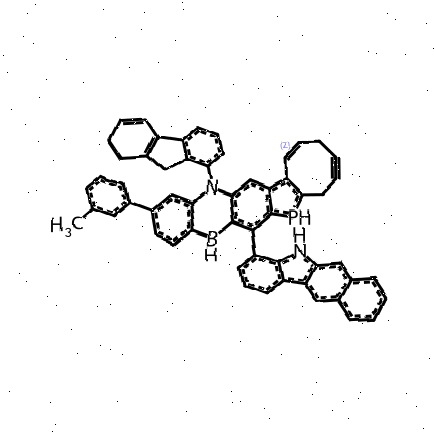 Cc1cccc(-c2ccc3c(c2)N(c2cccc4c2CC2=C4C=CCC2)c2cc4c5c([pH]c4c(-c4cccc6c4[nH]c4cc7ccccc7cc46)c2B3)CC#CC/C=C\5)c1